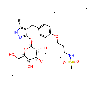 CC(C)c1[nH]nc(O[C@@H]2O[C@H](CO)[C@@H](O)[C@H](O)[C@H]2O)c1Cc1ccc(OCCCNS(C)(=O)=O)cc1